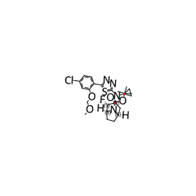 COCOc1cc(Cl)ccc1-c1nnc(N(C2CC2)[C@@H]2C[C@H]3CC[C@@H]([C@@H]2F)N3C(=O)OC(C)(C)C)s1